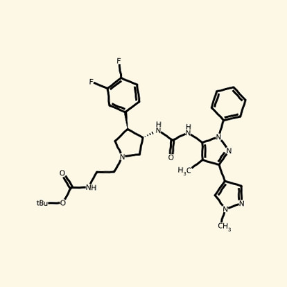 Cc1c(-c2cnn(C)c2)nn(-c2ccccc2)c1NC(=O)N[C@@H]1CN(CCNC(=O)OC(C)(C)C)C[C@H]1c1ccc(F)c(F)c1